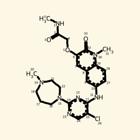 CNC(=O)COc1cc2cc(Nc3nc(N4CCCN(C)CC4)ncc3Cl)ccc2n(C)c1=O